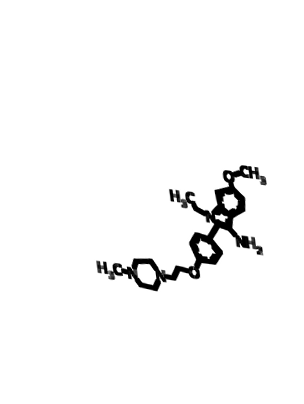 CCn1c(-c2ccc(OCCN3CCN(C)CC3)cc2)c(N)c2ccc(OC)cc21